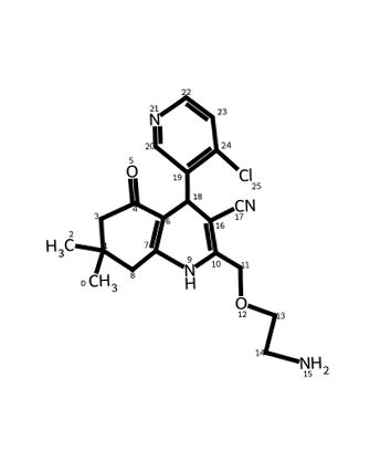 CC1(C)CC(=O)C2=C(C1)NC(COCCN)=C(C#N)C2c1cnccc1Cl